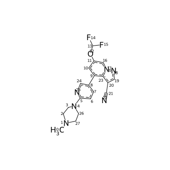 CN1CCN(c2ccc(-c3cc(OC(F)F)cn4ncc(C#N)c34)cn2)CC1